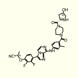 Cc1cc(Nc2nccn3c(-c4ccc(O[C@H](C)C#N)c(F)c4F)cnc23)ccc1C(=O)N1CCN(C(=O)[C@@H]2C[C@@H](O)CN2)CC1